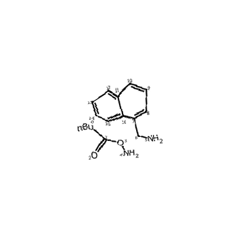 CCCCC(=O)ON.NCc1cccc2ccccc12